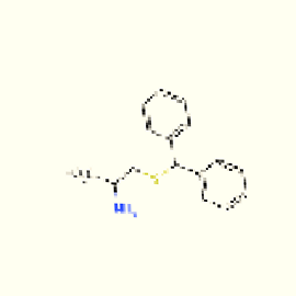 NC(CSC(c1ccccc1)c1ccccc1)C(=O)O